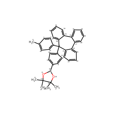 Cc1ccc(C2(c3ccc(B4OC(C)(C)C(C)(C)O4)cc3)c3ccccc3-c3ccccc3-c3ccccc32)cc1